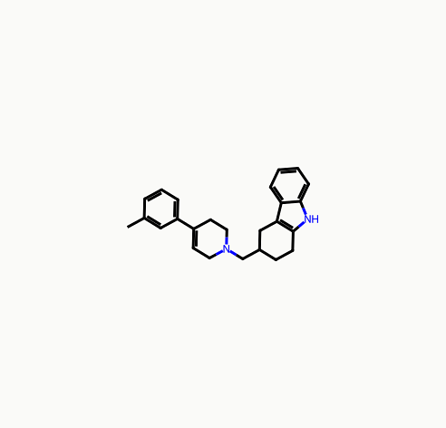 Cc1cccc(C2=CCN(CC3CCc4[nH]c5ccccc5c4C3)CC2)c1